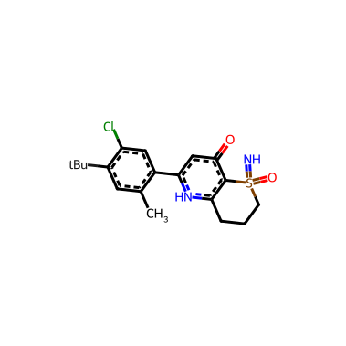 Cc1cc(C(C)(C)C)c(Cl)cc1-c1cc(=O)c2c([nH]1)CCCS2(=N)=O